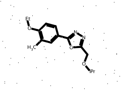 CCOc1ccc(-c2nnc(COC(C)C)o2)cc1C